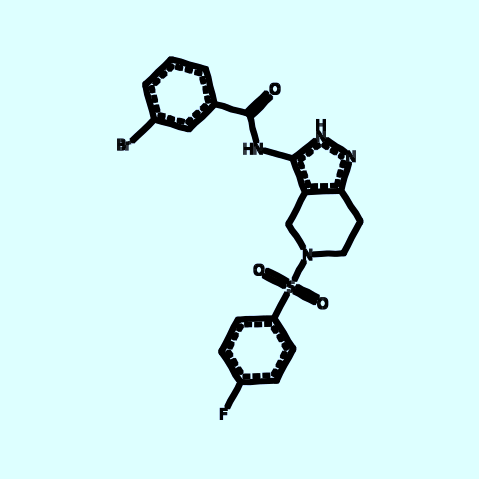 O=C(Nc1[nH]nc2c1CN(S(=O)(=O)c1ccc(F)cc1)CC2)c1cccc(Br)c1